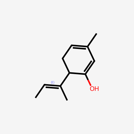 C/C=C(\C)C1CC=C(C)C=C1O